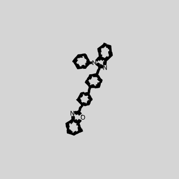 c1ccc(-n2c(-c3ccc(-c4ccc(-c5nc6ccccc6o5)cc4)cc3)nc3ccccc32)cc1